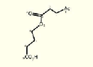 CC(=O)CCC(=O)OCCCC(=O)O